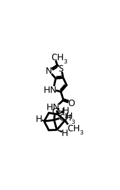 Cc1nc2[nH]c(C(=O)N[C@H]3C[C@H]4C[C@@H]([C@@H]3C)C4(C)C)cc2s1